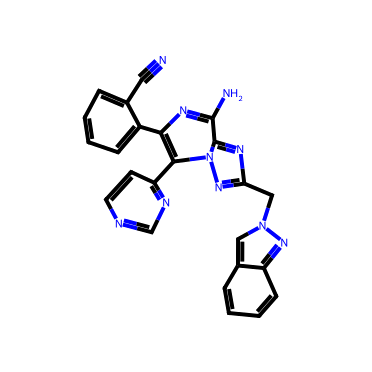 N#Cc1ccccc1-c1nc(N)c2nc(Cn3cc4ccccc4n3)nn2c1-c1ccncn1